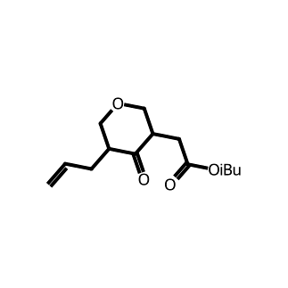 C=CCC1COCC(CC(=O)OCC(C)C)C1=O